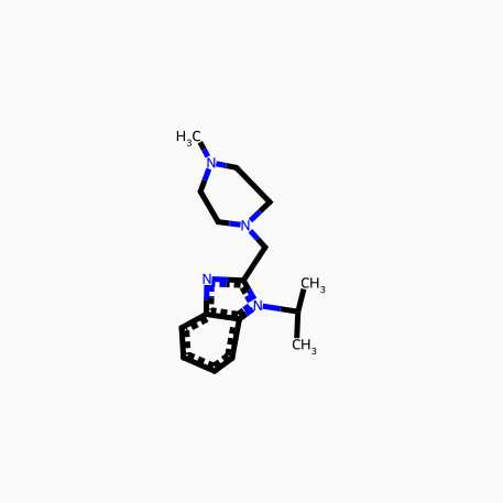 CC(C)n1c(CN2CCN(C)CC2)nc2ccccc21